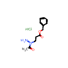 CC(=O)N(N)CCC(=O)OCc1ccccc1.Cl